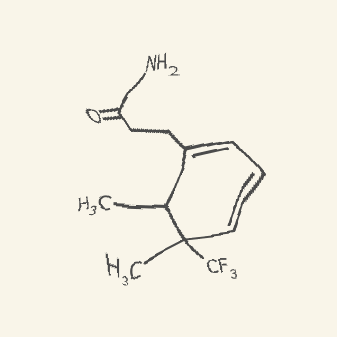 CC1C(C(N)=O)=CC=CC1(C)C(F)(F)F